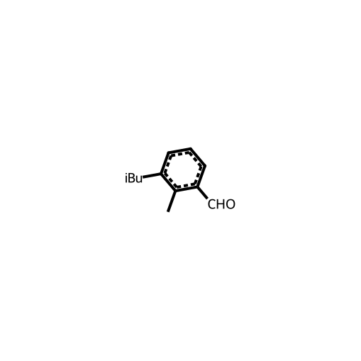 CCC(C)c1cccc(C=O)c1C